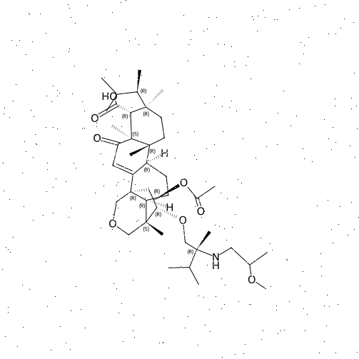 COC(C)CN[C@@](C)(CO[C@H]1[C@H](OC(C)=O)C[C@@]23COC[C@]1(C)[C@@H]2CC[C@H]1C3=CC(=O)[C@@]2(C)[C@H](C(=O)O)[C@@](C)([C@H](C)C(C)C)CC[C@]12C)C(C)C